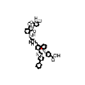 O=C1CCC(N2C(=O)c3cccc(NCc4cn(Cc5ccc(-c6nc7cc(-c8ccccc8)ccn7c6N(c6ccccc6)c6ccc(C(=O)O)cc6)cc5)nn4)c3C2=O)C(=O)N1